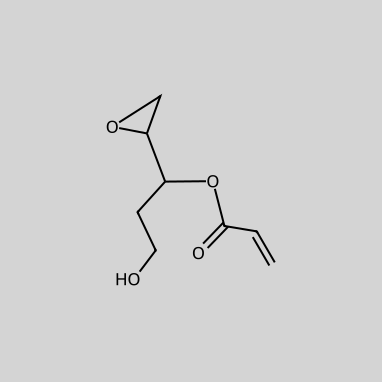 C=CC(=O)OC(CCO)C1CO1